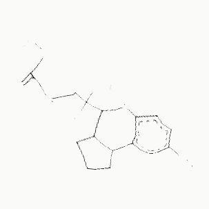 CC(C)(C)OC(=O)NCC(C)(C)C1Nc2ccc(C#N)cc2C2CCCC21